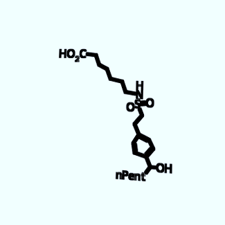 CCCCCC(O)c1ccc(CCS(=O)(=O)NCCCCCCC(=O)O)cc1